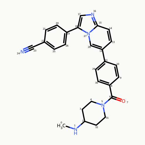 CNC1CCN(C(=O)c2ccc(-c3ccc4ncc(-c5ccc(C#N)cc5)n4c3)cc2)CC1